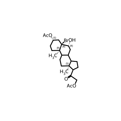 CC(=O)OCC(=O)C1CCC2C3C[C@@H](O)[C@@]4(Br)C[C@@H](OC(C)=O)CC[C@]4(C)C3CC[C@]12C